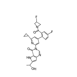 CC(O)c1cc2ncn(-c3cc(-c4ccc(F)cc4C(=O)N4CC(F)C4)cc(C4CC4)n3)c(=O)c2[nH]1